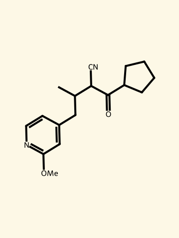 COc1cc(CC(C)C(C#N)C(=O)C2CCCC2)ccn1